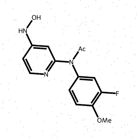 COc1ccc(N(C(C)=O)c2cc(NO)ccn2)cc1F